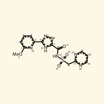 COc1cccc(-c2nnc(C(=O)NS(=O)(=O)Cc3ncccn3)[nH]2)n1